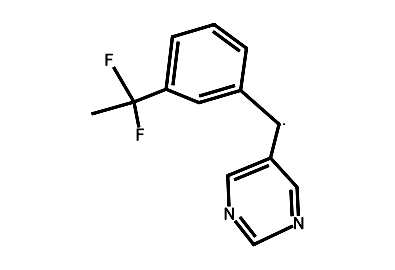 CC(F)(F)c1cccc([CH]c2cncnc2)c1